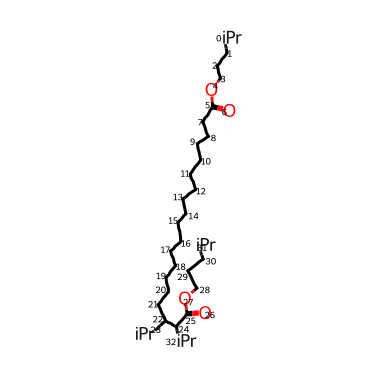 CC(C)CCCOC(=O)CCCCCCCCCCCCCCCC(C(C)C)C(C(=O)OCCCC(C)C)C(C)C